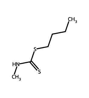 CCCCSC(=S)NC